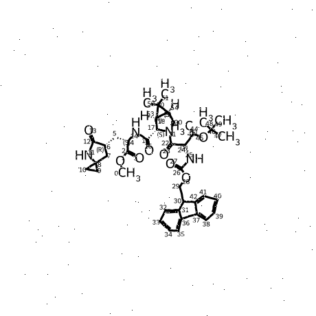 COC(=O)[C@H](C[C@@H]1CC2(CC2)NC1=O)NC(=O)[C@@H]1[C@@H]2[C@H](CN1C(=O)[C@@H](NC(=O)OCC1c3ccccc3-c3ccccc31)[C@H](C)OC(C)(C)C)C2(C)C